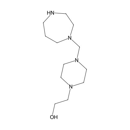 OCCN1CCN(CN2CCCNCC2)CC1